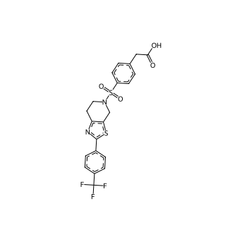 O=C(O)Cc1ccc(S(=O)(=O)N2CCc3nc(-c4ccc(C(F)(F)F)cc4)sc3C2)cc1